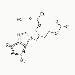 CCC(=O)OCCC(COC(=O)CC)Cn1cnc2c(=O)[nH]c(N)nc21.Cl